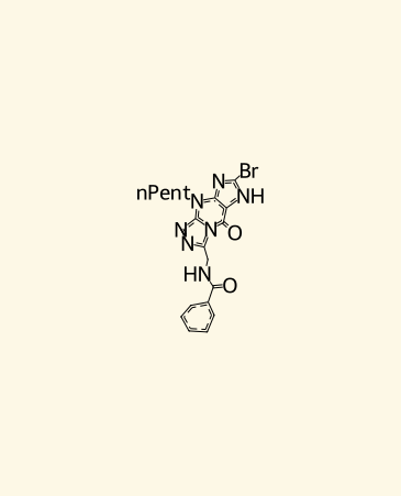 CCCCCn1c2nc(Br)[nH]c2c(=O)n2c(CNC(=O)c3ccccc3)nnc12